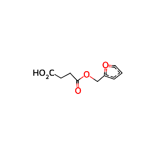 O=C(O)CCC(=O)OCc1ccco1